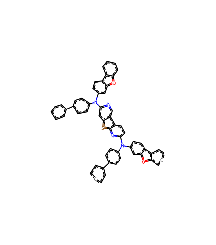 c1ccc(-c2ccc(N(c3ccc4c(c3)oc3ccccc34)c3cc4sc5nc(N(c6ccc(-c7ccccc7)cc6)c6ccc7c(c6)oc6ccccc67)ccc5c4cn3)cc2)cc1